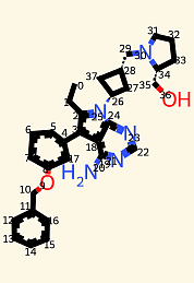 CCc1c(-c2cccc(OCc3ccccc3)c2)c2c(N)ncnc2n1[C@H]1C[C@@H](CN2CCC[C@@H]2CO)C1